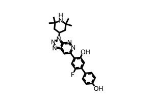 CC1(C)CC(n2nnc3cc(-c4cc(F)c(-c5ccc(O)cc5)cc4O)nnc32)CC(C)(C)N1